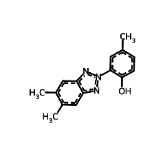 Cc1ccc(O)c(-n2nc3cc(C)c(C)cc3n2)c1